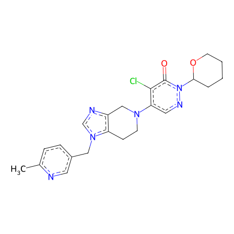 Cc1ccc(Cn2cnc3c2CCN(c2cnn(C4CCCCO4)c(=O)c2Cl)C3)cn1